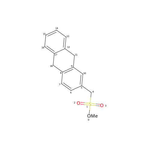 COS(=O)(=O)Cc1ccc2c(c1)Cc1ccccc1C2